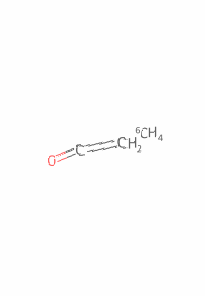 C=C=O.[6CH4]